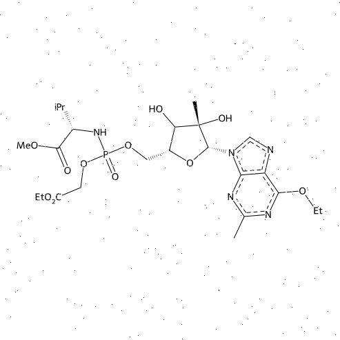 CCOC(=O)COP(=O)(N[C@H](C(=O)OC)C(C)C)OC[C@H]1O[C@@H](n2cnc3c(OCC)nc(C)nc32)[C@@](C)(O)C1O